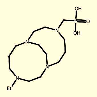 CCN1CCCN2CCN(CCCN(CP(=O)(O)O)CC2)CC1